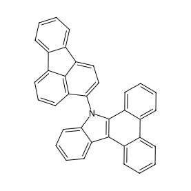 c1ccc2c(c1)-c1cccc3c(-n4c5ccccc5c5c6ccccc6c6ccccc6c54)ccc-2c13